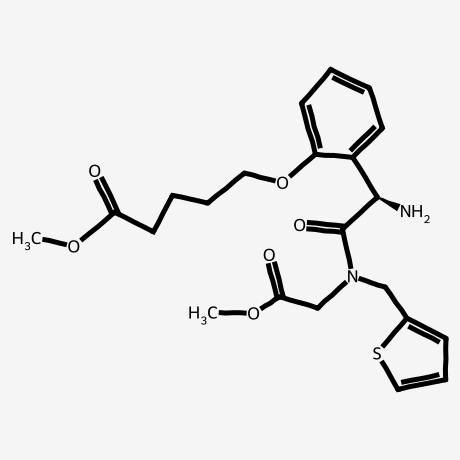 COC(=O)CCCCOc1ccccc1[C@@H](N)C(=O)N(CC(=O)OC)Cc1cccs1